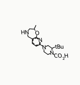 CC1CNCc2ccc(N3CCN(C(=O)O)C(C(C)(C)C)C3)nc2O1